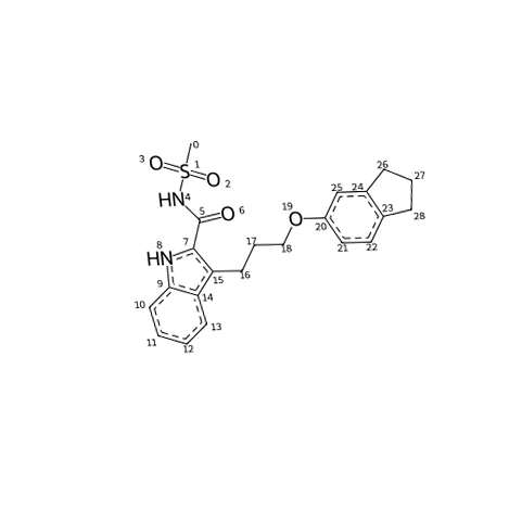 CS(=O)(=O)NC(=O)c1[nH]c2ccccc2c1CCCOc1ccc2c(c1)CCC2